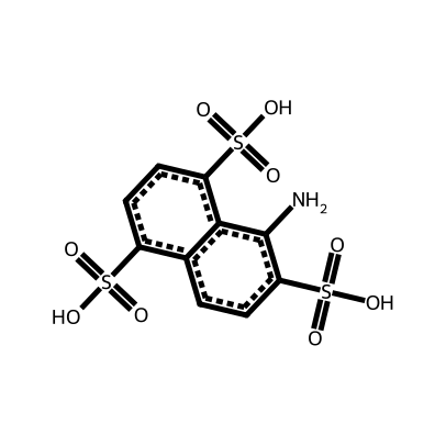 Nc1c(S(=O)(=O)O)ccc2c(S(=O)(=O)O)ccc(S(=O)(=O)O)c12